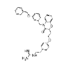 N=C(N)NCCc1ccc(OCCC2Oc3ccccc3N(Cc3cccc(OCc4ccccc4)c3)C2=O)cc1